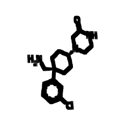 NC[C@]1(c2cccc(Cl)c2)CC[C@@H](N2CCNC(=O)C2)CC1